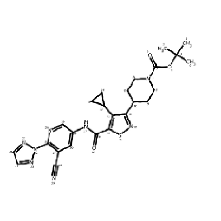 CC(C)(C)OC(=O)N1CCC(c2nsc(C(=O)Nc3cnc(-n4nccn4)c(C#N)c3)c2C2CC2)CC1